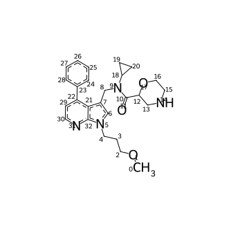 COCCCn1cc(CN(C(=O)C2CNCCO2)C2CC2)c2c(-c3ccccc3)ccnc21